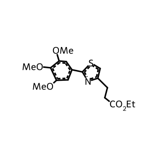 CCOC(=O)CCc1csc(-c2cc(OC)c(OC)c(OC)c2)n1